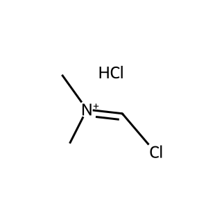 C[N+](C)=CCl.Cl